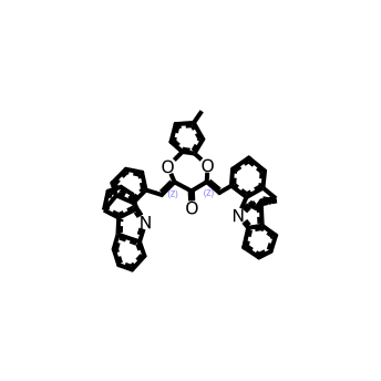 Cc1ccc2c(c1)O/C(=C\c1cccc3c1-n1c4ccccc4c4c-3cccc41)C(=O)/C(=C/c1cccc3c1-n1c4ccccc4c4c-3cccc41)O2